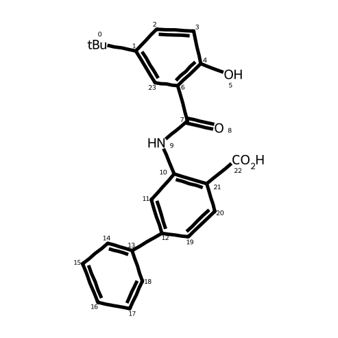 CC(C)(C)c1ccc(O)c(C(=O)Nc2cc(-c3ccccc3)ccc2C(=O)O)c1